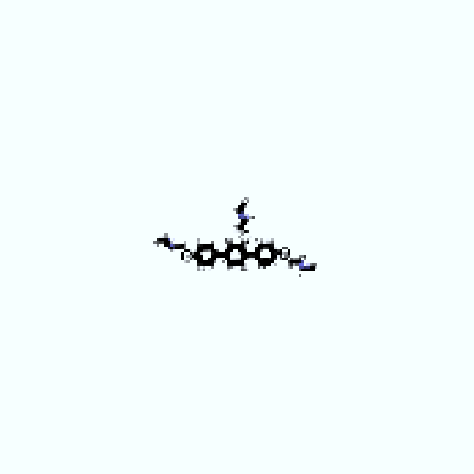 C/C=C/COc1ccc(-c2ccc(-c3ccc(OC/C=C/C)cc3)c(OC/C=C/C)c2)cc1